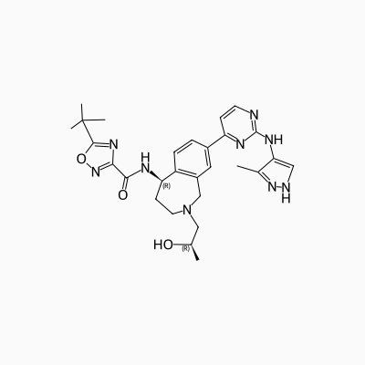 Cc1n[nH]cc1Nc1nccc(-c2ccc3c(c2)CN(C[C@@H](C)O)CC[C@H]3NC(=O)c2noc(C(C)(C)C)n2)n1